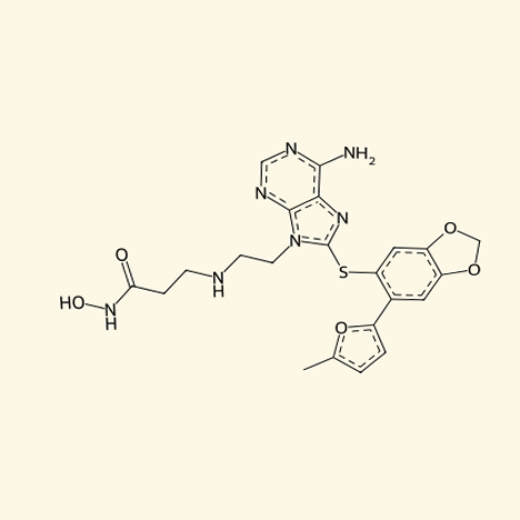 Cc1ccc(-c2cc3c(cc2Sc2nc4c(N)ncnc4n2CCNCCC(=O)NO)OCO3)o1